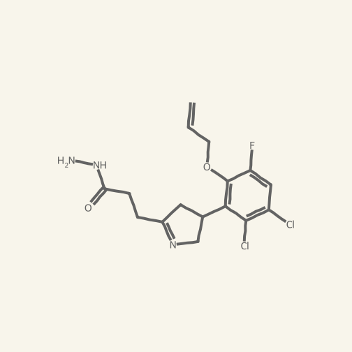 C=CCOc1c(F)cc(Cl)c(Cl)c1C1CN=C(CCC(=O)NN)C1